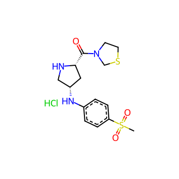 CS(=O)(=O)c1ccc(N[C@@H]2CN[C@H](C(=O)N3CCSC3)C2)cc1.Cl